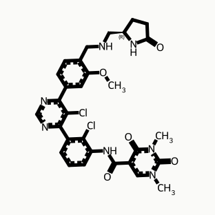 COc1cc(-c2ncnc(-c3cccc(NC(=O)c4cn(C)c(=O)n(C)c4=O)c3Cl)c2Cl)ccc1CNC[C@H]1CCC(=O)N1